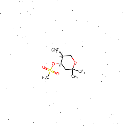 CC1(C)C[C@H](OS(C)(=O)=O)[C@@H](C=O)CO1